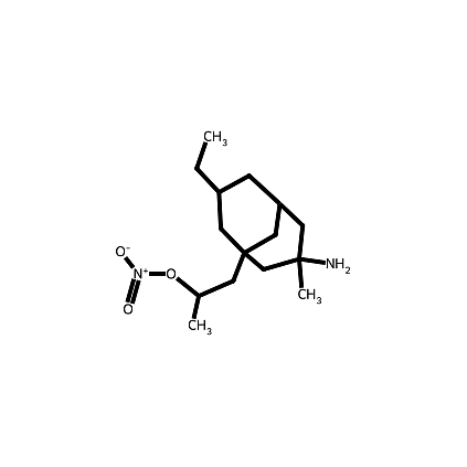 CCC1CC2CC(C)(N)CC(CC(C)O[N+](=O)[O-])(C1)C2